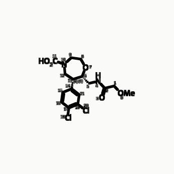 COCC(=O)NC[C@H]1OCCN(C(=O)O)C[C@H]1c1ccc(Cl)c(Cl)c1